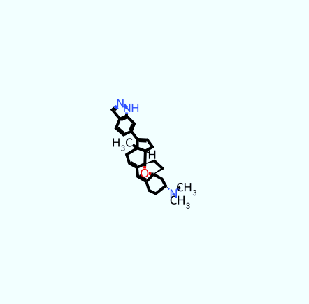 CN(C)[C@@H]1CCC2=CC3=CCC4(C)C(c5ccc6cn[nH]c6c5)=CC[C@H]4[C@@]34CC[C@]2(C1)O4